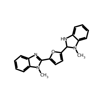 CN1c2ccccc2NC1c1ccc(-c2nc3ccccc3n2C)o1